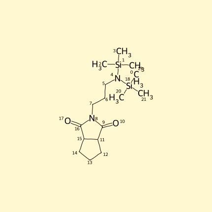 C[Si](C)(C)N(CCCN1C(=O)C2CCCC2C1=O)[Si](C)(C)C